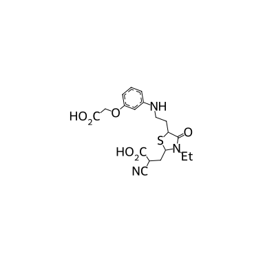 CCN1C(=O)C(CCNc2cccc(OCC(=O)O)c2)SC1CC(C#N)C(=O)O